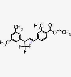 CCOC(=O)c1ccc(/C=C/C(c2cc(C)cc(C)c2)C(F)(F)F)cc1C